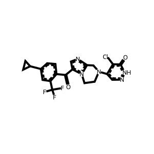 O=C(c1ccc(C2CC2)cc1C(F)(F)F)c1cnc2n1CCN(c1cn[nH]c(=O)c1Cl)C2